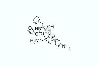 CC(C)(CCN)C(NC[C@@H](O)[C@H](Cc1ccccc1)NC(=O)Oc1ccoc1)S(=O)(=O)c1ccc(N)cc1